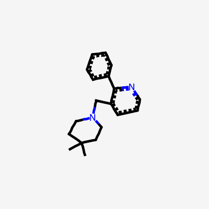 CC1(C)CCN(Cc2cccnc2-c2ccccc2)CC1